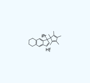 CC1=C(C)C(C)(C2(C(C)C)C=Cc3cc4c(cc32)CCCC4)C(C)=C1C.[Hf]